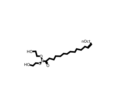 CCCCCCCC/C=C\CCCCCCCCCCCC(=O)N(OCCO)OCCO